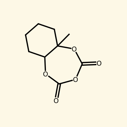 CC12CCCCC1OC(=O)OC(=O)O2